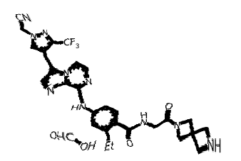 CCc1cc(Nc2nccn3c(-c4cn(CC#N)nc4C(F)(F)F)cnc23)ccc1C(=O)NCC(=O)N1CC2(CNC2)C1.O=CO